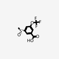 C[S+]([O-])c1cc(OC(F)(F)F)cc(C(=O)O)c1